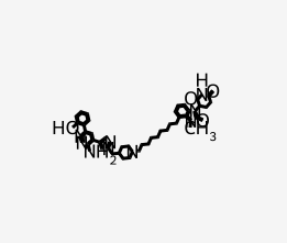 Cn1c(=O)n(C2CCC(=O)NC2=O)c2cccc(CCCCCCCCCN3CCC(Cn4cc(-c5cc(-c6ccccc6O)nnc5N)cn4)CC3)c21